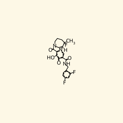 C[C@@]1(F)CCCN2C[C@@H]1n1cc(C(=O)NCc3ccc(F)cc3F)c(=O)c(O)c1C2=O